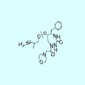 CC([SiH3])COC(C)(C)O[C@@H]1CN(C(=O)CN2CCOCC2)NC(=O)N[C@@H]1Cc1ccccc1